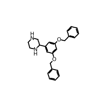 c1ccc(COc2cc(OCc3ccccc3)cc(C3CNCCN3)c2)cc1